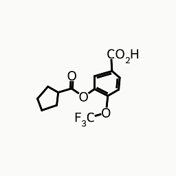 O=C(O)c1ccc(OC(F)(F)F)c(OC(=O)C2CCCC2)c1